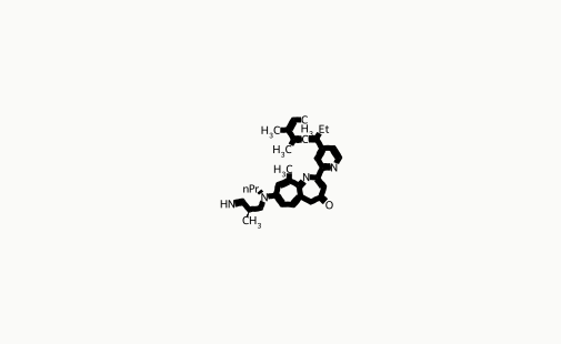 C/C=C(/C)C(C)=C=C(CC)c1ccnc(C2=CC(=O)CC3=CC=C(N(CCC)C[C@H](C)C=N)C=C(C)C3=N2)c1